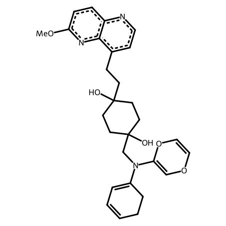 COc1ccc2nccc(CCC3(O)CCC(O)(CN(C4=CC=CCC4)C4=COC=CO4)CC3)c2n1